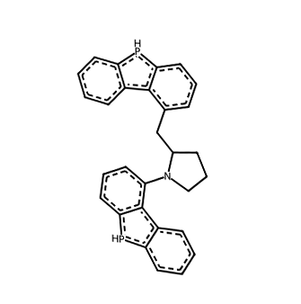 c1ccc2c(c1)[pH]c1cccc(CC3CCCN3c3cccc4[pH]c5ccccc5c34)c12